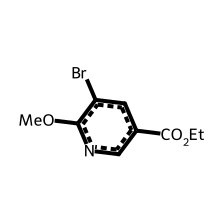 CCOC(=O)c1cnc(OC)c(Br)c1